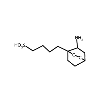 NC1CC2CCC1(CCCCS(=O)(=O)O)CC2